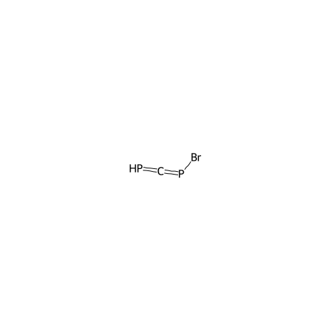 P=C=PBr